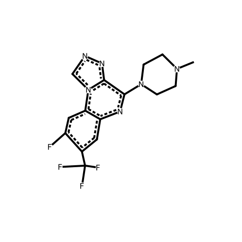 CN1CCN(c2nc3cc(C(F)(F)F)c(F)cc3n3cnnc23)CC1